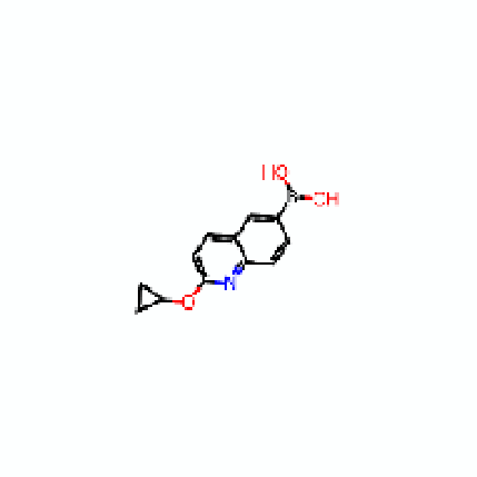 OB(O)c1ccc2nc(OC3CC3)ccc2c1